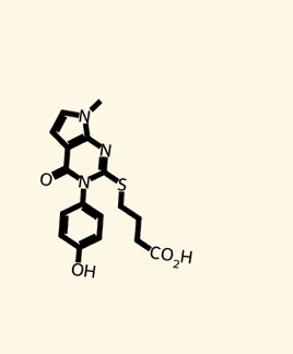 Cn1ccc2c(=O)n(-c3ccc(O)cc3)c(SCCCC(=O)O)nc21